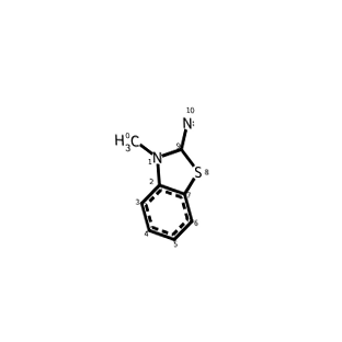 CN1c2ccccc2SC1[N]